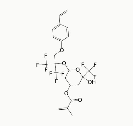 C=Cc1ccc(OCC(OC2CC(OC(=O)C(=C)C)CC(O)(C(F)(F)F)O2)(C(F)(F)F)C(F)(F)F)cc1